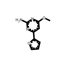 COc1cc(-c2ccco2)nc(N)n1